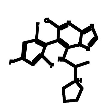 CC(Nc1c(-c2c(F)cc(F)cc2F)c(Cl)nc2ncnn12)[SiH]1CCCC1